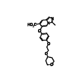 Cc1ncc2cc(C(=O)O)c(Oc3ccc(OCCOC4CCOCC4)cc3)cn12